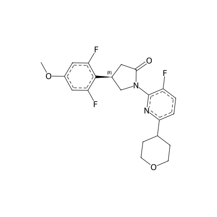 COc1cc(F)c([C@H]2CC(=O)N(c3nc(C4CCOCC4)ccc3F)C2)c(F)c1